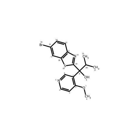 COc1ccncc1C(O)(c1nc2ccc(Br)cc2s1)C(C)C